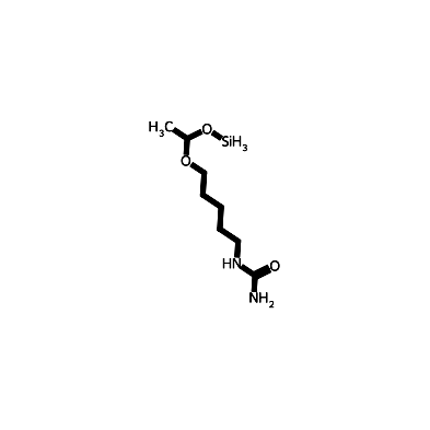 CC(O[SiH3])OCCCCCNC(N)=O